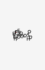 O=C(Oc1ccc([SH](c2ccccc2)c2ccccc2)cc1)c1oc(C(F)(F)F)c(C(F)(F)F)c1C(F)(F)F